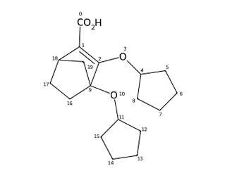 O=C(O)C1=C(OC2CCCC2)C2(OC3CCCC3)CCC1C2